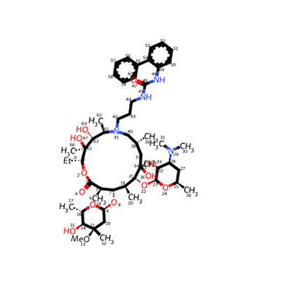 CC[C@H]1OC(=O)[C@H](C)[C@@H](O[C@H]2C[C@@](C)(OC)[C@@H](O)[C@H](C)O2)[C@H](C)[C@@H](O[C@@H]2O[C@H](C)C[C@H](N(C)C)[C@H]2O)[C@](C)(O)C[C@@H](C)CN(CCCNC(=O)Nc2ccccc2-c2ccccc2)[C@H](C)[C@@H](O)[C@]1(C)O